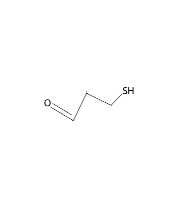 O=C[CH]CS